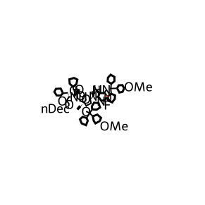 C#C[C@]1(COP(=O)(N[C@@H](Cc2ccccc2)C(=O)OCCCCCCCCCC)Oc2ccccc2)O[C@@H](n2cnc3c(NC(c4ccccc4)(c4ccccc4)c4ccc(OC)cc4)nc(F)nc32)C[C@@H]1OC(c1ccccc1)(c1ccccc1)c1ccc(OC)cc1